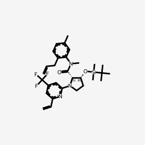 C=CCc1ccc(C)cc1N(C)C(=O)[C@@H]1[C@H](O[Si](C)(C)C(C)(C)C)CCN1c1cc(C(F)(F)F)cc(C=C)n1